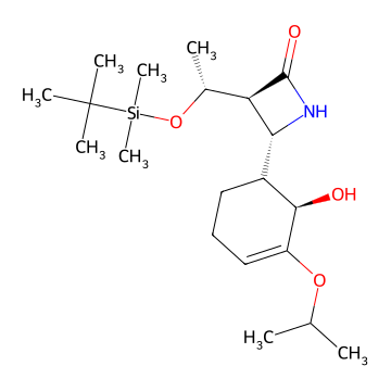 CC(C)OC1=CCCC([C@H]2NC(=O)[C@@H]2[C@@H](C)O[Si](C)(C)C(C)(C)C)[C@H]1O